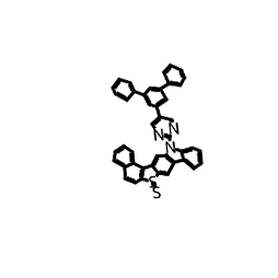 S=S1c2cc3c4ccccc4n(-c4ncc(-c5cc(-c6ccccc6)cc(-c6ccccc6)c5)cn4)c3cc2-c2c1ccc1ccccc21